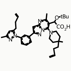 C=CCCc1cc(C)nn1-c1cccc(-c2cc3nc(C)c(C(OC(C)(C)C)C(=O)O)c(N4CCC(C)(CCC=C)CC4)n3n2)c1